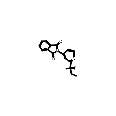 CCC(F)(F)c1cc(N2C(=O)c3ccccc3C2=O)ccn1